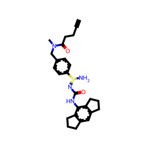 C#CCCC(=O)N(C)Cc1ccc(/S(N)=N/C(=O)Nc2c3c(cc4c2CCC4)CCC3)cc1